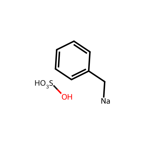 O=S(=O)(O)O.[Na][CH2]c1ccccc1